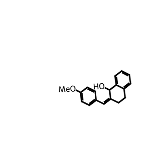 COc1ccc(C=C2CCc3ccccc3C2O)cc1